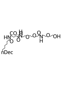 CCCCCCCCCCCCCCCC(=O)NC(CCC(=O)NCCOCCOCC(=O)NCCOCCO)C(=O)O